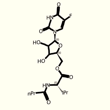 CCCC(=O)N[C@H](C(=O)OC[C@@H]1O[C@H](n2cc(F)c(=O)[nH]c2=O)C(O)C1O)C(C)C